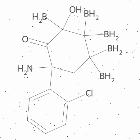 BC1(B)CC(N)(c2ccccc2Cl)C(=O)C(B)(O)C1(B)B